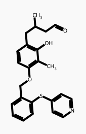 Cc1c(OCc2ccccc2Sc2ccncc2)ccc(CC(C)CC=O)c1O